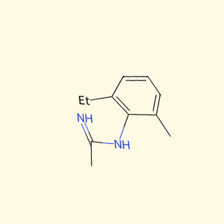 CCc1cccc(C)c1NC(C)=N